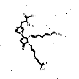 CCCCCCC=C[C@H]1C(n2cnc(C[C@H](N)C(=O)O)c2)CC(=O)[C@@H]1CC=CCCCC(=O)O